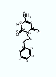 Nc1cc(=O)n(OCc2ccccc2)c(=O)[nH]1